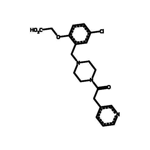 O=C(O)COc1ccc(Cl)cc1CN1CCN(C(=O)Cc2cccnc2)CC1